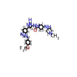 CN1CCC(Nc2ccc(C(=O)Nc3cc(-c4ccc5ncn(Cc6ccc(OC(F)(F)F)cc6)c5c4)n[nH]3)cc2)CC1